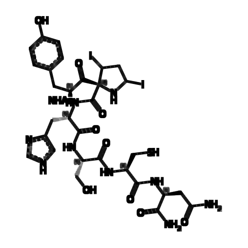 CC(=O)N[C@@H](Cc1ccc(O)cc1)C(=O)[C@]1(C(=O)N[C@@H](Cc2c[nH]cn2)C(=O)N[C@@H](CO)C(=O)N[C@@H](CS)C(=O)N[C@@H](CC(N)=O)C(N)=O)NC(I)CC1I